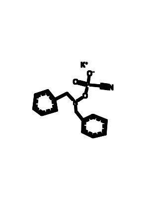 N#CP(=O)([O-])ON(Cc1ccccc1)Cc1ccccc1.[K+]